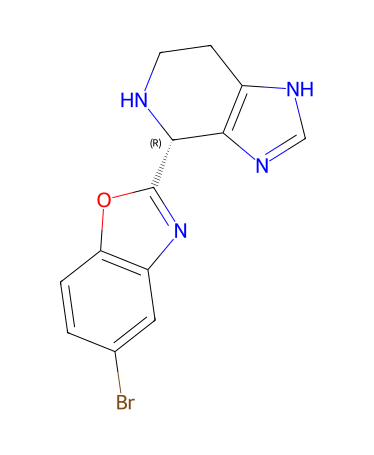 Brc1ccc2oc([C@@H]3NCCc4[nH]cnc43)nc2c1